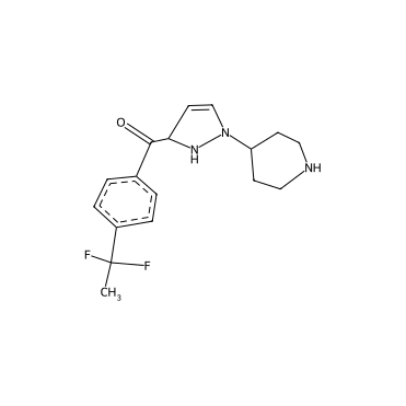 CC(F)(F)c1ccc(C(=O)C2C=CN(C3CCNCC3)N2)cc1